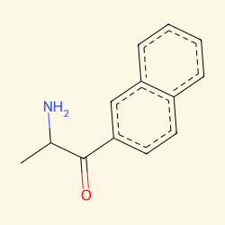 CC(N)C(=O)c1ccc2ccccc2c1